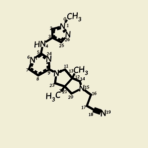 Cn1cc(Nc2nccc(N3CC4(C)CN(CCC#N)CC4(C)C3)n2)cn1